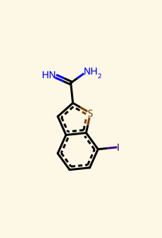 N=C(N)c1cc2cccc(I)c2s1